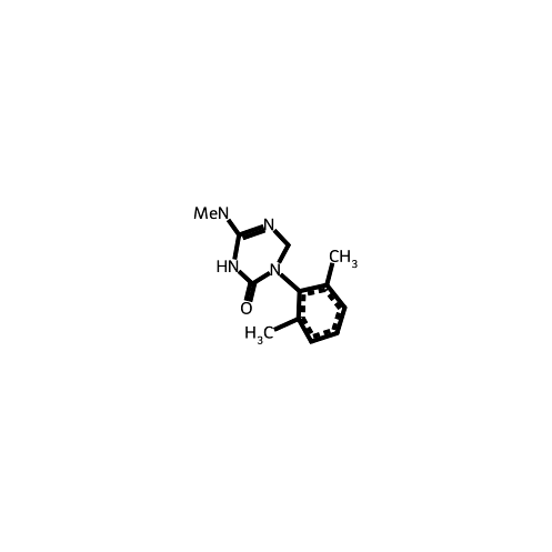 CNC1=NCN(c2c(C)cccc2C)C(=O)N1